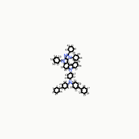 c1ccc(-c2ccc(N(c3ccc(-c4ccccc4)cc3)c3ccc(-n4c5ccccc5c5c6c7c(nc(-c8ccccc8)n7-c7ccccc7)n(-c7ccccc7)c6ccc54)cc3)cc2)cc1